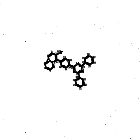 Brc1ccc2ccccc2c1-c1ccc(-c2nc(-c3ccccc3)nc(-c3ccccc3)n2)cc1